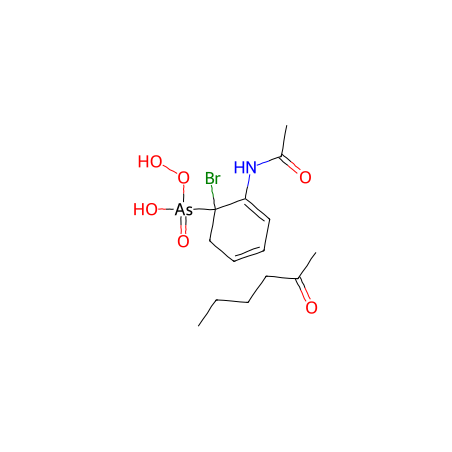 CC(=O)NC1=CC=CCC1(Br)[As](=O)(O)OO.CCCCC(C)=O